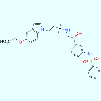 CC(C)(CCn1ccc2cc(OCC(=O)O)ccc21)NC[C@@H](O)c1cccc(NS(=O)(=O)c2ccccc2)c1